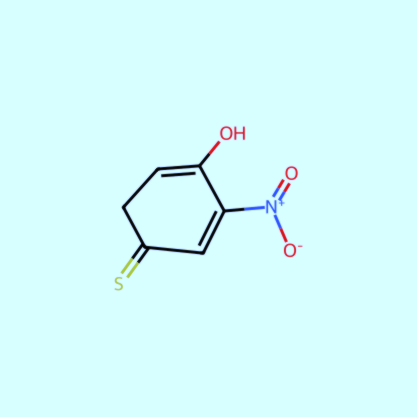 O=[N+]([O-])C1=CC(=S)CC=C1O